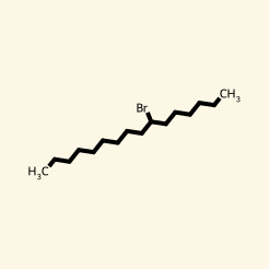 CCCCCCCCCC(Br)CCCCCC